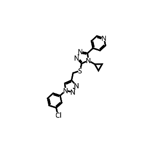 Clc1cccc(-n2cc(CSc3nnc(-c4ccncc4)n3C3CC3)nn2)c1